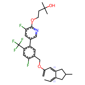 C=C(/C=C1/CC(C)C/C1=C/C)OCc1cc(-c2cnc(OCCC(C)(C)O)c(F)c2)c(C(F)(F)F)cc1F